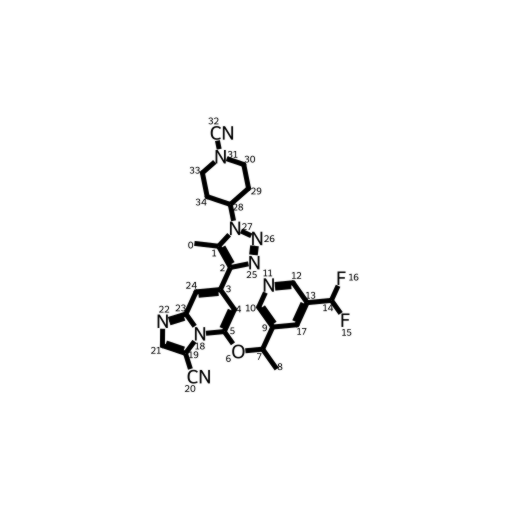 Cc1c(-c2cc(OC(C)c3cncc(C(F)F)c3)n3c(C#N)cnc3c2)nnn1C1CCN(C#N)CC1